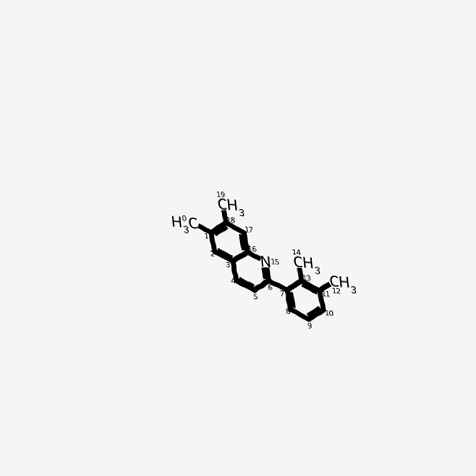 Cc1cc2ccc(-c3cccc(C)c3C)nc2cc1C